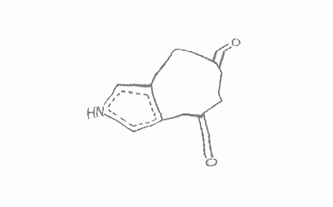 O=C1CC(=O)c2c[nH]cc2C1